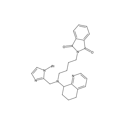 CC(C)n1ccnc1CN(CCCCN1C(=O)c2ccccc2C1=O)C1CCCc2cccnc21